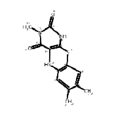 Cc1cc2c(cc1C)Sc1[nH]c(=O)n(C)c(=O)c1N2